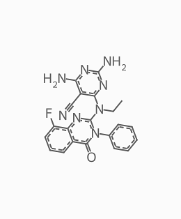 CCN(c1nc(N)nc(N)c1C#N)c1nc2c(F)cccc2c(=O)n1-c1ccccc1